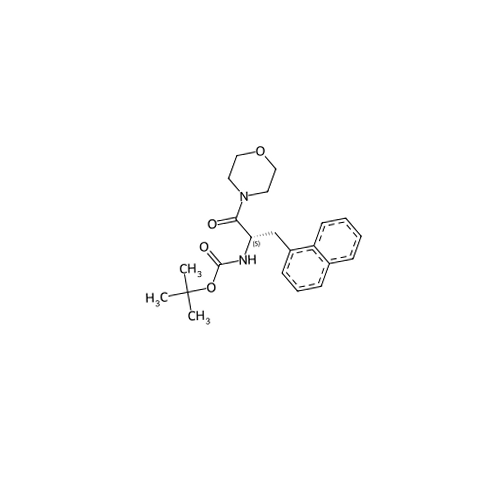 CC(C)(C)OC(=O)N[C@@H](Cc1cccc2ccccc12)C(=O)N1CCOCC1